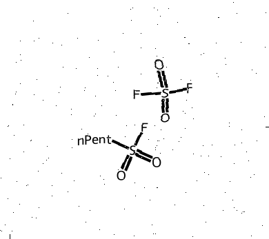 CCCCCS(=O)(=O)F.O=S(=O)(F)F